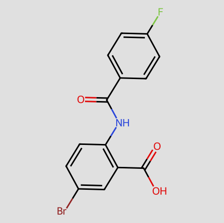 O=C(Nc1ccc(Br)cc1C(=O)O)c1ccc(F)cc1